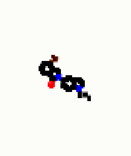 Cn1ccc2cc(N3Cc4c(Br)cccc4C3=O)ccc21